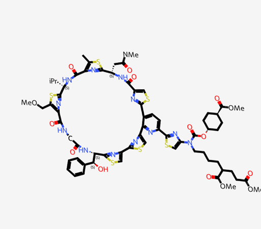 CNC(=O)C[C@@H]1NC(=O)c2csc(n2)-c2ccc(-c3nc(N(CCCCC(CCC(=O)OC)C(=O)OC)C(=O)O[C@H]4CC[C@H](C(=O)OC)CC4)cs3)nc2-c2csc(n2)-c2csc(n2)[C@H]([C@@H](O)c2ccccc2)NC(=O)CNC(=O)c2nc(sc2COC)[C@H](C(C)C)NC(=O)c2nc1sc2C